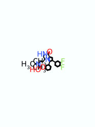 CC(C)(C)N(CCC1CNC(=O)c2cc(-c3ccc(F)c(F)c3)c(-c3ccccc3)n21)C(=O)O